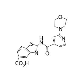 O=C(O)c1ccc2sc(NC(=O)c3ccnc(N4CCOCC4)c3)nc2c1